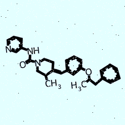 CC(Cc1ccccc1)Oc1cccc(/C=C2\CCN(C(=O)Nc3cccnc3)CC2C)c1